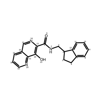 O=C(NCC1CCc2ccccc21)c1ncc2cccnc2c1O